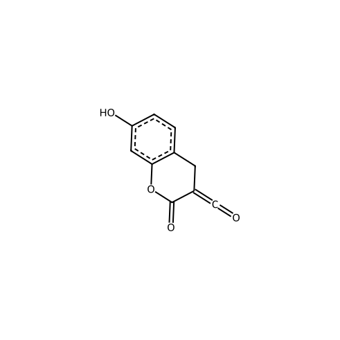 O=C=C1Cc2ccc(O)cc2OC1=O